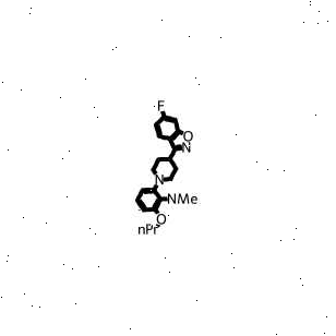 CCCOc1[c]ccc(N2CCC(c3noc4cc(F)ccc34)CC2)c1NC